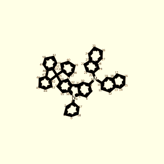 c1ccc(-n2c3ccc(N(c4ccc5ccccc5c4)c4ccc5ccccc5c4)cc3c3cc(C4(c5ccccc5)c5ccccc5-c5ccccc54)ccc32)cc1